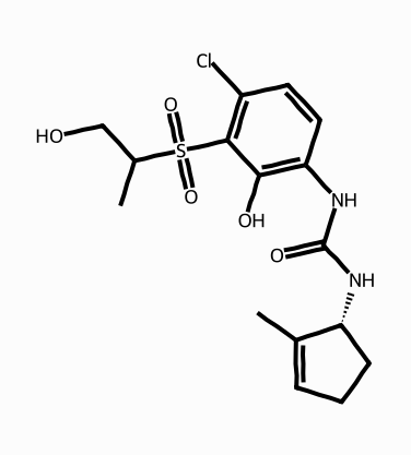 CC1=CCC[C@H]1NC(=O)Nc1ccc(Cl)c(S(=O)(=O)C(C)CO)c1O